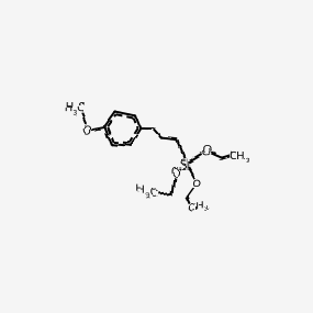 CCO[Si](CCCc1ccc(OC)cc1)(OCC)OCC